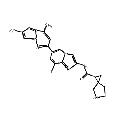 Cc1cn2nc(-c3cc(F)c4nc(NC(=O)C5CC56CCNC6)cn4c3)cc(C)c2n1